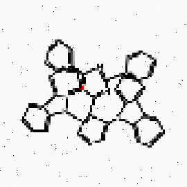 c1ccc(-c2nc(-c3ccccc3)nc(-c3c(-n4c5ccccc5c5ccccc54)cccc3-n3c4ccccc4c4ccccc43)n2)cc1